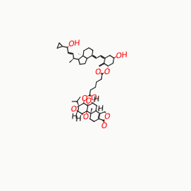 C=C1/C(=C\C=C2/CCC[C@@]3(C)C2CCC3[C@@H](C)/C=C/C(O)C2CC2)C[C@@H](O)C[C@@H]1OC(=O)CCCCC(=O)O[C@@H]1[C@@]2(C(C)C)O[C@H]2[C@@H]2O[C@]23[C@]12O[C@H]2C[C@H]1C2=C(CC[C@@]13C)C(=O)OC2